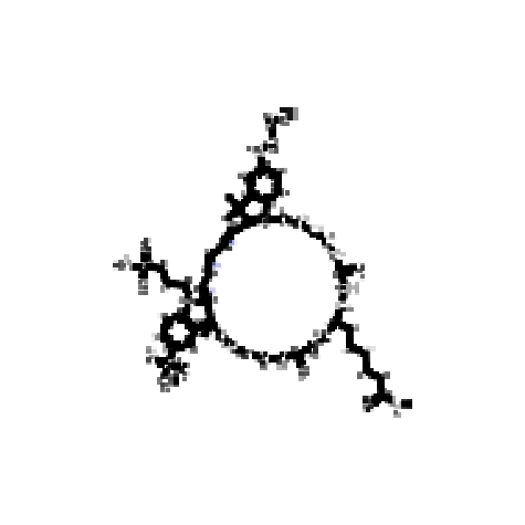 CC1(C)C2=[N+](CCCCCC(=O)NCC(CCCCCC(=O)O)CNC(=O)CCCCCC3(C)/C(=C/C=C/C=C/2)N(CCCS(=O)(=O)O)c2ccc(S(=O)(=O)O)cc23)c2ccc(SOOO)cc21